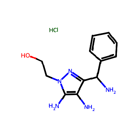 Cl.Nc1c(C(N)c2ccccc2)nn(CCO)c1N